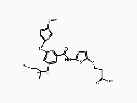 COC[C@H](C)Oc1cc(Oc2ccc(OC)cc2)cc(C(=O)Nc2ncc(SCCC(=O)O)s2)c1